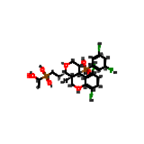 CC(O)S(=O)(=O)CC[C@@H]1OCC[C@@]2(S(=O)(=O)c3cc(F)cc(F)c3)c3c(F)ccc(F)c3OC[C@@H]12